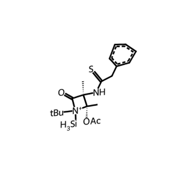 CC(=O)O[C@@]1(C)[C@](C)(NC(=S)Cc2ccccc2)C(=O)[N+]1([SiH3])C(C)(C)C